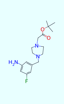 CC(C)(C)OC(=O)CN1CCN(Cc2cc(N)cc(F)c2)CC1